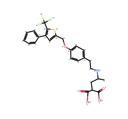 CC(CC(C(=O)O)C(=O)O)NCCc1ccc(OCc2cc(-c3ccccc3)c(C(F)(F)F)s2)cc1